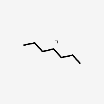 CCCCCCC.[Ti]